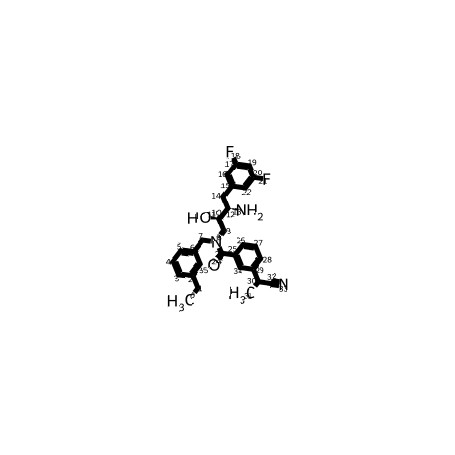 CCc1cccc(CN(C[C@@H](O)[C@@H](N)Cc2cc(F)cc(F)c2)C(=O)c2cccc(C(C)C#N)c2)c1